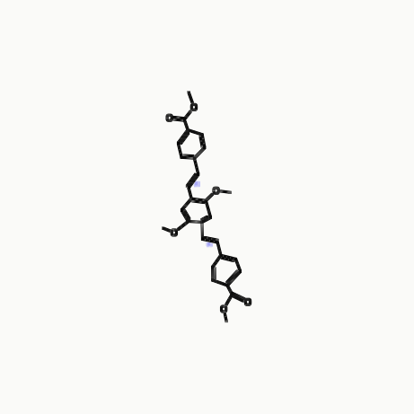 COC(=O)c1ccc(/C=C/c2cc(OC)c(/C=C/c3ccc(C(=O)OC)cc3)cc2OC)cc1